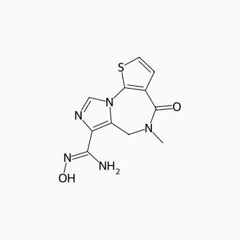 CN1Cc2c(/C(N)=N/O)ncn2-c2sccc2C1=O